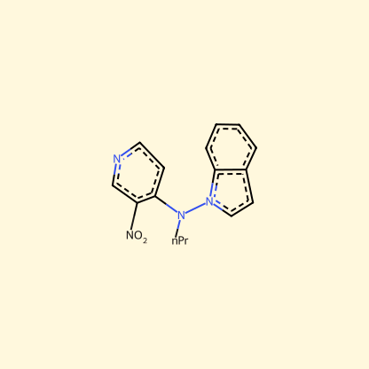 CCCN(c1ccncc1[N+](=O)[O-])n1ccc2ccccc21